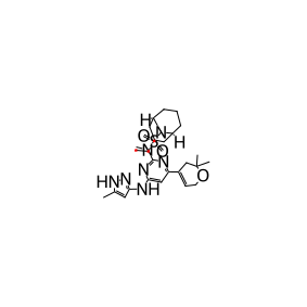 CCS(=O)(=O)N1[C@@H]2CCC[C@H]1CC(N(C)c1nc(Nc3cc(C)[nH]n3)cc(C3=CCOC(C)(C)C3)n1)C2